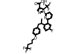 CC(Cc1ccc(OCCCC(F)(F)F)cc1)c1ccc(F)cc1-c1cccc(-n2ncc(C(=O)O)c2C(F)(F)F)n1